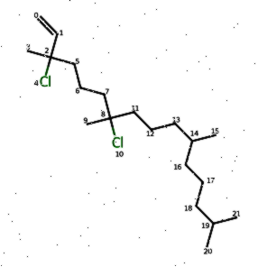 C=CC(C)(Cl)CCCC(C)(Cl)CCCC(C)CCCC(C)C